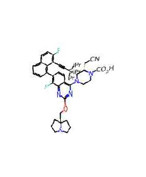 CC(C)[Si](C#Cc1c(F)ccc2cccc(-c3ccc4c(N5CCN(C(=O)O)[C@@H](CC#N)C5)nc(OCC56CCCN5CCC6)nc4c3F)c12)(C(C)C)C(C)C